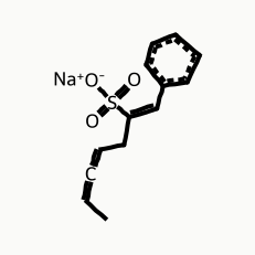 CC=C=CCC(=Cc1ccccc1)S(=O)(=O)[O-].[Na+]